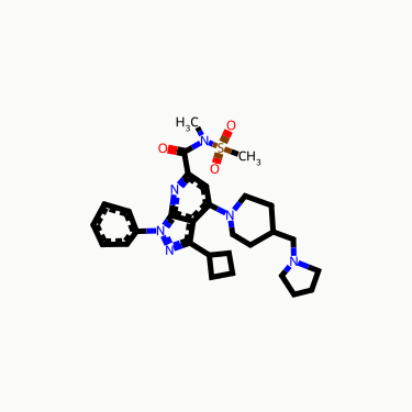 CN(C(=O)c1cc(N2CCC(CN3CCCC3)CC2)c2c(C3CCC3)nn(-c3ccccc3)c2n1)S(C)(=O)=O